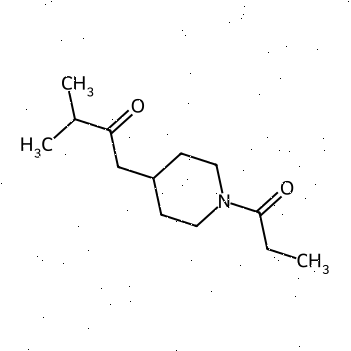 CCC(=O)N1CCC(CC(=O)C(C)C)CC1